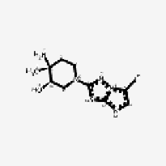 C[C@@]1(N)CCN(c2nn3c(I)cnc3s2)C[C@H]1O